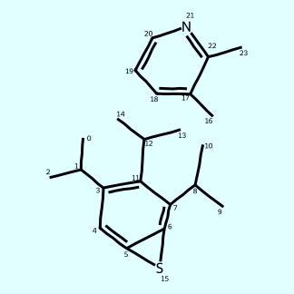 CC(C)c1cc2c(c(C(C)C)c1C(C)C)S2.Cc1cccnc1C